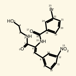 O=C(NCCO)C(=Cc1cccc([N+](=O)[O-])c1)NC(=O)c1cccc(Br)c1